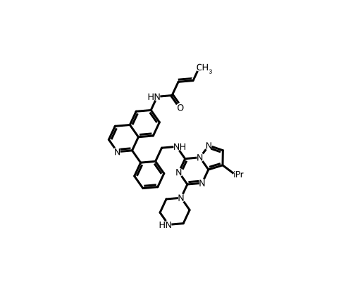 C/C=C/C(=O)Nc1ccc2c(-c3ccccc3CNc3nc(N4CCNCC4)nc4c(C(C)C)cnn34)nccc2c1